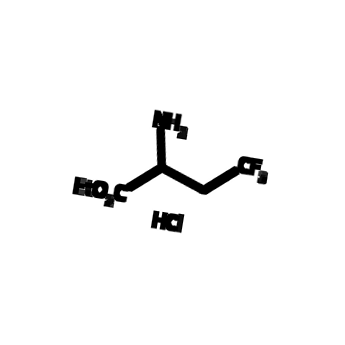 CCOC(=O)C(N)CC(F)(F)F.Cl